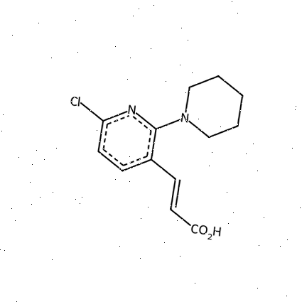 O=C(O)C=Cc1ccc(Cl)nc1N1CCCCC1